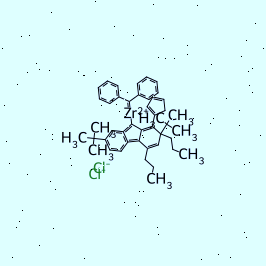 CCCC1=CC(CCC)(C(C)(C)C)C(C2=CC=CC2)=C2[C]([Zr+2]=[C](c3ccccc3)c3ccccc3)=c3cc(C(C)(C)C)ccc3=C12.[Cl-].[Cl-]